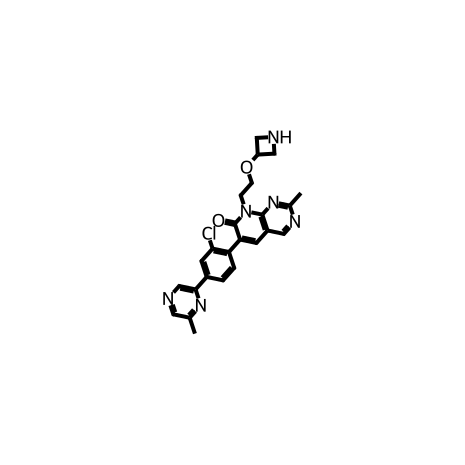 Cc1cncc(-c2ccc(-c3cc4cnc(C)nc4n(CCOC4CNC4)c3=O)c(Cl)c2)n1